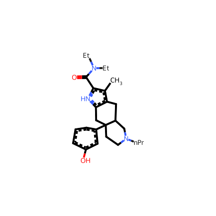 CCCN1CCC2(c3cccc(O)c3)Cc3[nH]c(C(=O)N(CC)CC)c(C)c3CC2C1